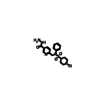 CCN1CCC(S(=O)(=O)N(Cc2ccc(C(=O)NN)cn2)c2ccccc2)CC1